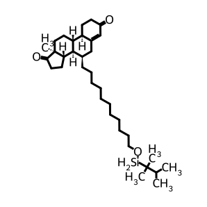 CC(C)C(C)(C)[SiH2]OCCCCCCCCCCC[C@@H]1CC2=CC(=O)CC[C@@H]2[C@H]2CC[C@]3(C)C(=O)CC[C@H]3[C@H]12